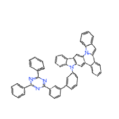 c1ccc(-c2nc(-c3ccccc3)nc(-c3cccc(-c4cccc(-n5c6ccccc6c6cc7c(cc65)c5ccccc5c5cc6ccccc6n57)c4)c3)n2)cc1